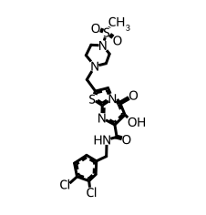 CS(=O)(=O)N1CCN(Cc2cn3c(=O)c(O)c(C(=O)NCc4ccc(Cl)c(Cl)c4)nc3s2)CC1